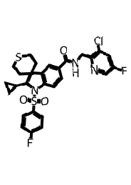 O=C(NCc1ncc(F)cc1Cl)c1ccc2c(c1)C1(CCSCC1)C(C1CC1)N2S(=O)(=O)c1ccc(F)cc1